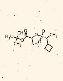 CC(C1CCC1)S(=O)(=O)OC(N)C(=O)OC(C)(C)C